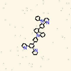 c1ccc(-n2c3cc(-c4cccc5c4c4ccccc4n5-c4ccc(-c5cc(-c6ccccn6)cc(-c6ccccn6)c5)cc4)ccc3c3ncccc32)cc1